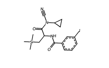 C[Si](C)(C)CC(NC(=O)c1cccc(I)c1)C(=O)N(C#N)C1CC1